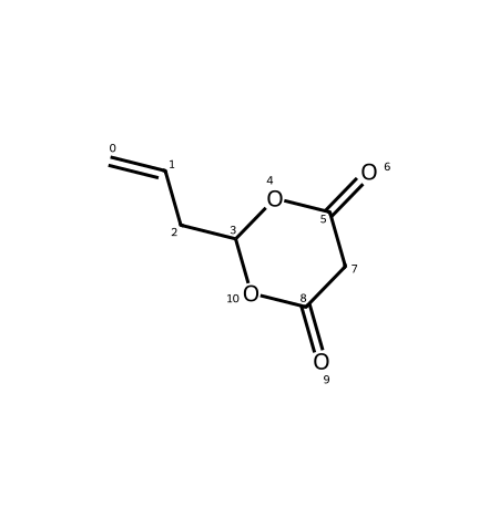 C=CCC1OC(=O)CC(=O)O1